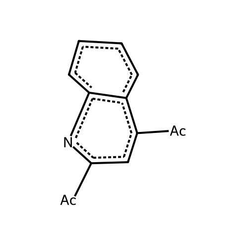 CC(=O)c1cc(C(C)=O)c2ccccc2n1